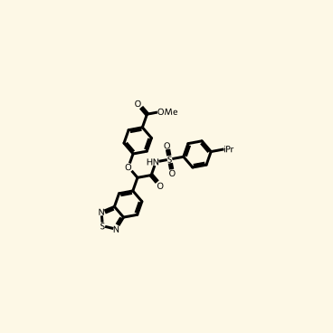 COC(=O)c1ccc(OC(C(=O)NS(=O)(=O)c2ccc(C(C)C)cc2)c2ccc3nsnc3c2)cc1